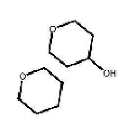 C1CCOCC1.OC1CCOCC1